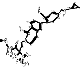 CC(CCn1ccc2cc(-c3ccc(CNC4CC4)cc3F)ccc2c1=O)(C(=O)NO)S(C)(=O)=O